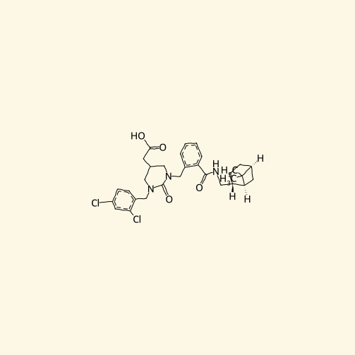 CC1(C)[C@H]2CC[C@@H](CNC(=O)c3ccccc3CN3CC(CC(=O)O)CN(Cc4ccc(Cl)cc4Cl)C3=O)[C@@H]1C2